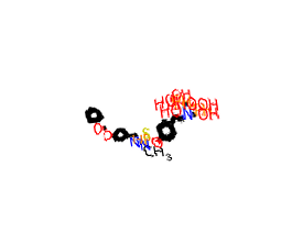 CN(/N=C/c1ccc(OCOc2ccccc2)cc1)[PH](=S)Oc1ccc(CCN(C[PH](O)(O)O)C[PH](O)(O)O)cc1